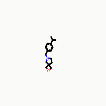 CC(C)c1ccc(CN2CCC3(COC3)C2)cc1